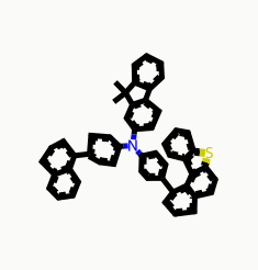 CC1(C)c2ccccc2-c2ccc(N(c3ccc(-c4cccc5ccccc45)cc3)c3ccc(-c4cccc5ccc6sc7ccccc7c6c45)cc3)cc21